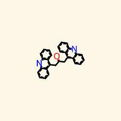 O=C(Cc1c2ccccc2nc2ccccc12)Cc1c2ccccc2nc2ccccc12